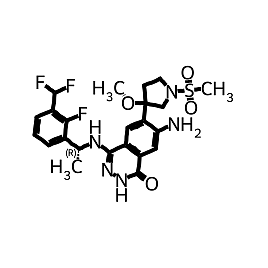 COC1(c2cc3c(N[C@H](C)c4cccc(C(F)F)c4F)n[nH]c(=O)c3cc2N)CCN(S(C)(=O)=O)C1